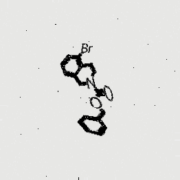 O=C(OCc1ccccc1)N1CCc2c(Br)cccc2C1